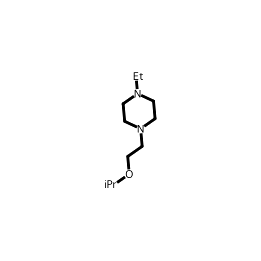 CCN1CCN(CCOC(C)C)CC1